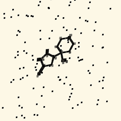 CC1(N2CC(=O)NN2)CCOCC1